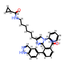 NC(=O)c1cccc(-c2ccc3[nH]ncc3c2)c1-c1nc(CCCCCCNC(=O)C2CC2)cn1-c1ccccc1